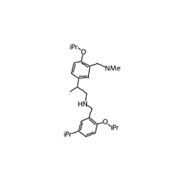 CNCc1cc(C(C)CNCc2cc(C(C)C)ccc2OC(C)C)ccc1OC(C)C